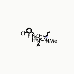 C=C/C=C(\C)N(CC(=O)N(CC(=O)NCc1cccc(Cl)c1F)C1CC1)NC